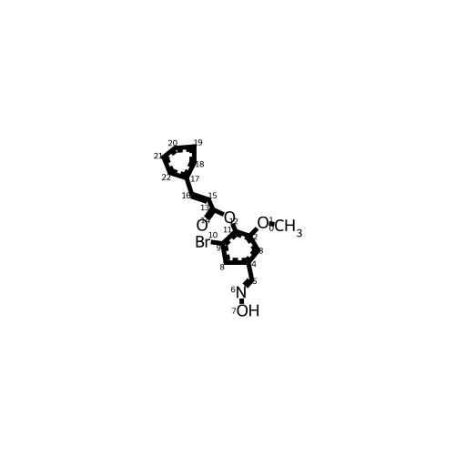 COc1cc(/C=N/O)cc(Br)c1OC(=O)C=Cc1ccccc1